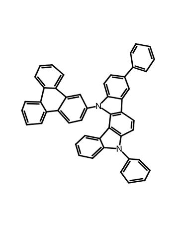 c1ccc(-c2ccc3c(c2)c2ccc4c(c5ccccc5n4-c4ccccc4)c2n3-c2ccc3c4ccccc4c4ccccc4c3c2)cc1